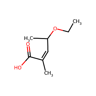 CCOC(C)C=C(C)C(=O)O